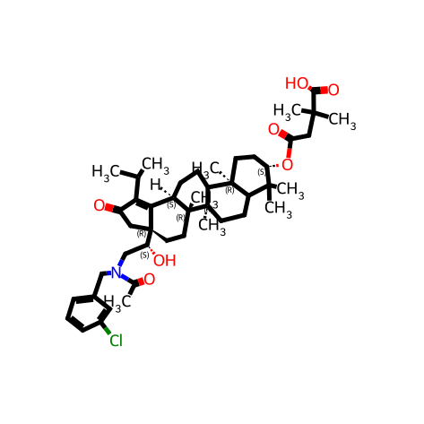 CC(=O)N(Cc1cccc(Cl)c1)C[C@@H](O)[C@@]12CC[C@]3(C)[C@H](CCC4[C@@]5(C)CC[C@H](OC(=O)CC(C)(C)C(=O)O)C(C)(C)C5CC[C@]43C)C1=C(C(C)C)C(=O)C2